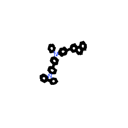 c1ccc(N(c2ccc(-c3ccc(-n4c5ccccc5c5ccccc54)cc3)cc2)c2ccc(-c3ccc4c(ccc5ccccc54)c3)cc2)cc1